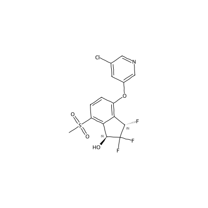 CS(=O)(=O)c1ccc(Oc2cncc(Cl)c2)c2c1[C@H](O)C(F)(F)[C@H]2F